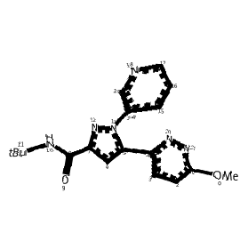 COc1ccc(-c2cc(C(=O)NC(C)(C)C)nn2-c2cccnc2)nn1